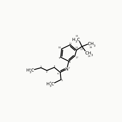 CC[CH]CC(CC)=Nc1cccc(C(C)(C)C)c1